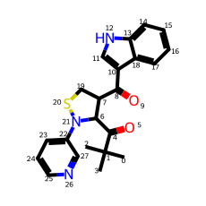 CC(C)(C)C(=O)C1C(C(=O)c2c[nH]c3ccccc23)CSN1c1cccnc1